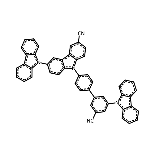 N#Cc1cc(-c2ccc(-n3c4ccc(C#N)cc4c4cc(-n5c6ccccc6c6ccccc65)ccc43)cc2)cc(-n2c3ccccc3c3ccccc32)c1